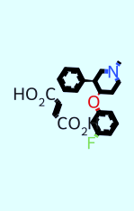 CN1CC[C@H](Oc2cccc(F)c2)[C@@H](c2ccccc2)C1.O=C(O)/C=C/C(=O)O